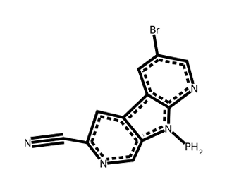 N#Cc1cc2c3cc(Br)cnc3n(P)c2cn1